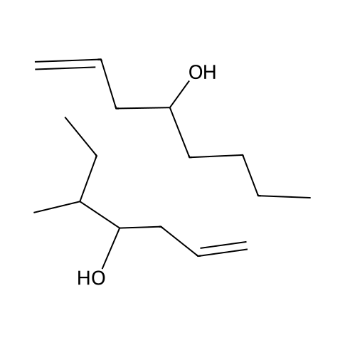 C=CCC(O)C(C)CC.C=CCC(O)CCCC